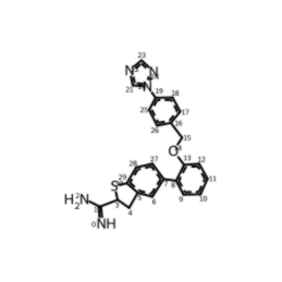 N=C(N)C1Cc2cc(-c3ccccc3OCc3ccc(-n4cncn4)cc3)ccc2S1